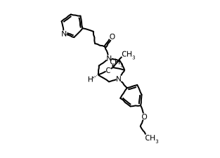 CCOc1ccc(N2C[C@H]3CN(C(=O)CCc4cccnc4)CC2C(C)(C)C3)cc1